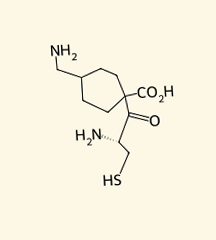 NCC1CCC(C(=O)O)(C(=O)[C@@H](N)CS)CC1